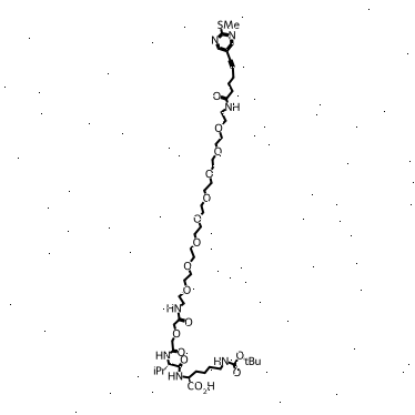 CSc1ncc(C#CCCCC(=O)NCCOCCOCCOCCOCCOCCOCCOCCOCCNC(=O)COCC(=O)N[C@H](C(=O)N[C@@H](CCCCNC(=O)OC(C)(C)C)C(=O)O)C(C)C)cn1